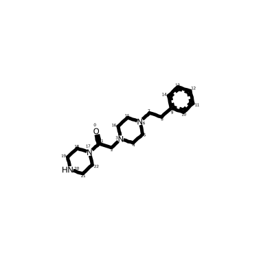 O=C(CN1CCN(CCc2ccccc2)CC1)N1CCNCC1